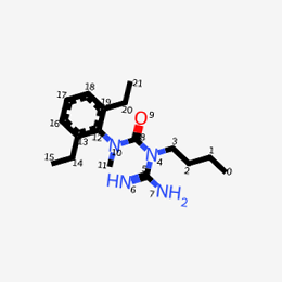 CCCCN(C(=N)N)C(=O)N(C)c1c(CC)cccc1CC